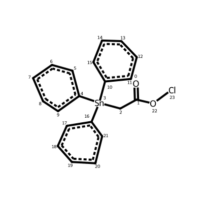 O=C([CH2][Sn]([c]1ccccc1)([c]1ccccc1)[c]1ccccc1)OCl